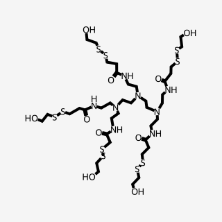 O=C(CCSSCCO)NCCN(CCNC(=O)CCSSCCO)CCN(CCNC(=O)CCSSCCO)CCN(CCNC(=O)CCSSCCO)CCNC(=O)CSSCCO